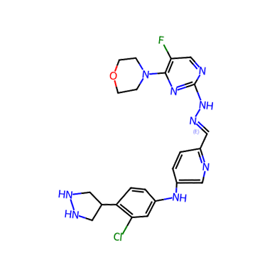 Fc1cnc(N/N=C/c2ccc(Nc3ccc(C4CNNC4)c(Cl)c3)cn2)nc1N1CCOCC1